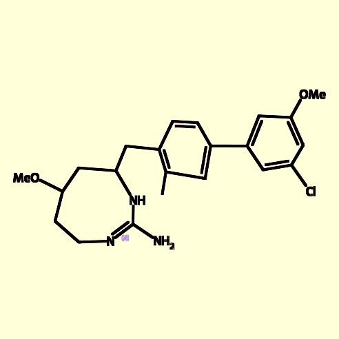 COc1cc(Cl)cc(-c2ccc(CC3CC(OC)CC/N=C(/N)N3)c(C)c2)c1